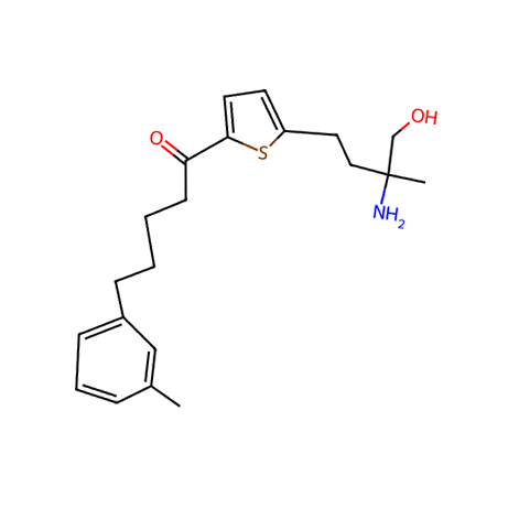 Cc1cccc(CCCCC(=O)c2ccc(CCC(C)(N)CO)s2)c1